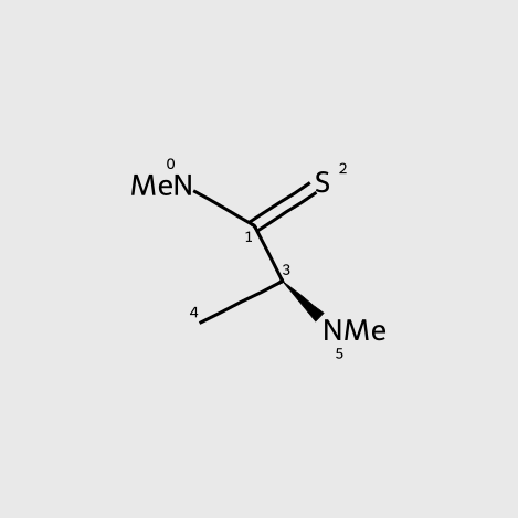 CNC(=S)[C@H](C)NC